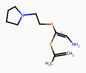 C=C(C)S/C(=C\N)SCCN1CCCC1